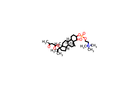 C=C(C)[C@@]1(OC(=O)CC(C)=O)CC[C@H]2C3CC=C4CC(OP(=O)(O)OCC[N+](C)(C)C)CC[C@]4(C)[C@H]3CC[C@@]21C